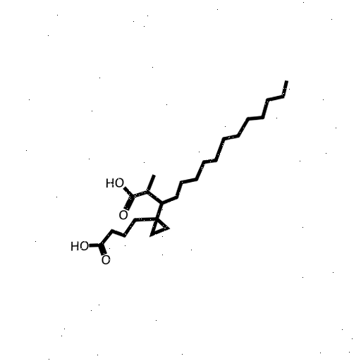 CCCCCCCCCCCCC(C(C)C(=O)O)C1(CCCC(=O)O)CC1